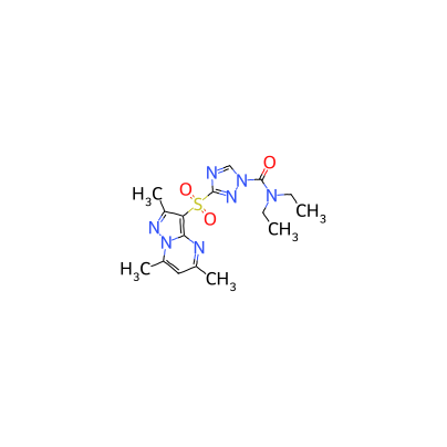 CCN(CC)C(=O)n1cnc(S(=O)(=O)c2c(C)nn3c(C)cc(C)nc23)n1